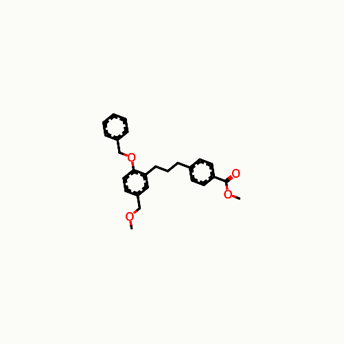 COCc1ccc(OCc2ccccc2)c(CCCc2ccc(C(=O)OC)cc2)c1